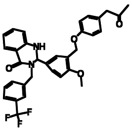 COc1ccc(C2Nc3ccccc3C(=O)N2Cc2cccc(C(F)(F)F)c2)cc1COc1ccc(CC(C)=O)cc1